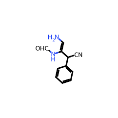 N#CC(C(=CN)NC=O)c1ccccc1